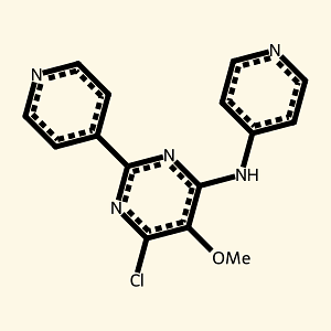 COc1c(Cl)nc(-c2ccncc2)nc1Nc1ccncc1